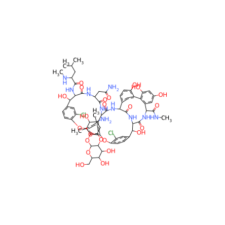 CNC(=O)C1NC(=O)C2NC(=O)C(NC(=O)C3NC(=O)C(CC(N)=O)NC(=O)C(NC(=O)C(CC(C)C)NC)C(O)c4ccc(c(Cl)c4)Oc4cc3cc(c4OC3OC(CO)C(O)C(O)C3OC3CC(C)(N)C(O)C(C)O3)Oc3ccc(cc3Cl)C2O)c2ccc(O)c(c2)-c2c(O)cc(O)cc21